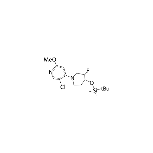 COc1cc(N2CCC(O[Si](C)(C)C(C)(C)C)C(F)C2)c(Cl)cn1